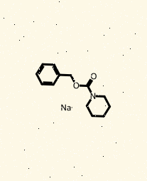 O=C(OCc1ccccc1)N1CCCCC1.[Na]